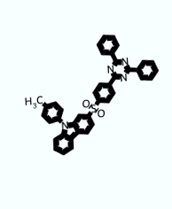 Cc1ccc(-n2c3ccccc3c3ccc(S(=O)(=O)c4ccc(-c5nc(-c6ccccc6)nc(-c6ccccc6)n5)cc4)cc32)cc1